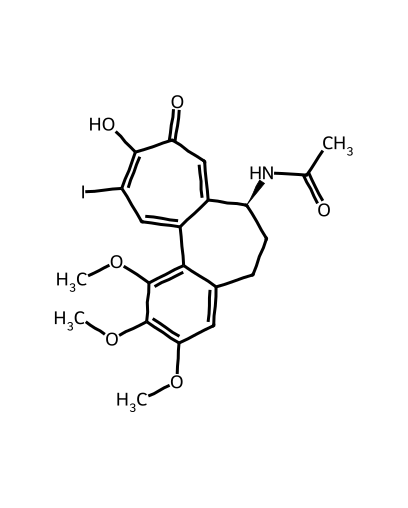 COc1cc2c(c(OC)c1OC)-c1cc(I)c(O)c(=O)cc1[C@@H](NC(C)=O)CC2